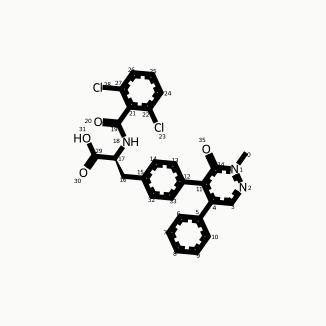 Cn1ncc(-c2ccccc2)c(-c2ccc(C[C@H](NC(=O)c3c(Cl)cccc3Cl)C(=O)O)cc2)c1=O